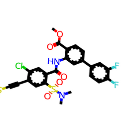 COC(=O)c1ccc(-c2ccc(F)c(F)c2)cc1NC(=O)c1cc(Cl)c(C#CSI)cc1S(=O)(=O)N(C)C